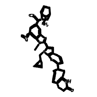 COc1cc(C(=O)N2CC3CCC2C3N)cc2nc(-c3cc4ccc(-c5ccc6c(c5)NC(=O)CC6)nc4n3CC3CC3)n(C)c12